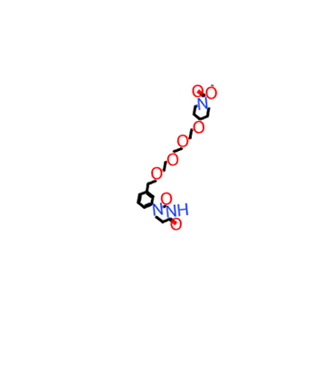 COC(=O)N1CCC(OCCOCCOCCOCCc2cccc(N3CCC(=O)NC3=O)c2)CC1